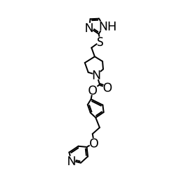 O=C(Oc1ccc(CCOc2ccncc2)cc1)N1CCC(CSc2ncc[nH]2)CC1